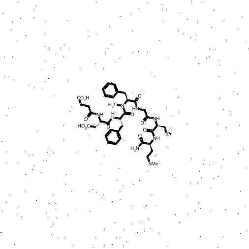 CSCC[C@H](NC(=O)[C@H](CC(C)C)NC(=O)CNC(=O)[C@H](Cc1ccccc1)N(C)C(=O)[C@H](Cc1ccccc1)NC(=O)[C@H](CC(=O)O)NC(=O)CCC(=O)O)C(N)=O